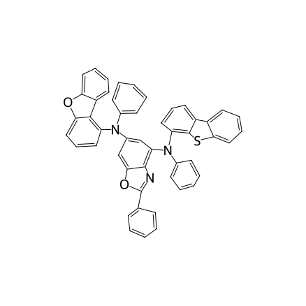 c1ccc(-c2nc3c(N(c4ccccc4)c4cccc5c4sc4ccccc45)cc(N(c4ccccc4)c4cccc5oc6ccccc6c45)cc3o2)cc1